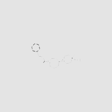 CC1(O)CCN(C2CCCN(C(=O)OCc3ccccc3)CC2)CC1